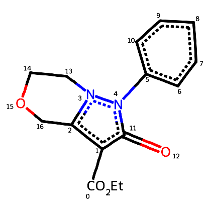 CCOC(=O)c1c2n(n(-c3ccccc3)c1=O)CCOC2